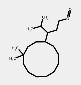 CC(C)C(CCN=O)C1CCCCCCCCC(C)(C)CC1